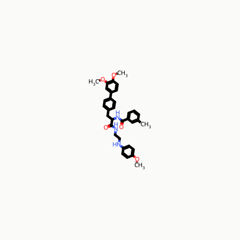 COc1ccc(NCCNC(=O)C(Cc2ccc(-c3ccc(OC)c(OC)c3)cc2)NC(=O)c2cccc(C)c2)cc1